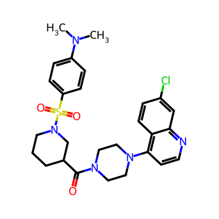 CN(C)c1ccc(S(=O)(=O)N2CCCC(C(=O)N3CCN(c4ccnc5cc(Cl)ccc45)CC3)C2)cc1